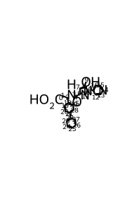 O=C(O)CC(NC(=O)c1cc(O)n(-c2ccncc2)n1)c1ccc(-c2ccccc2)cc1